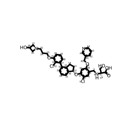 C[C@@](CO)(NCc1cc(Cl)c(O[C@H]2CCc3c(-c4cccc(OCCCN5CC(O)C5)c4Cl)cccc32)cc1OCc1cccnc1)C(=O)O